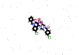 O=C(c1ccc(Cl)cc1)N1CCN(c2c([N+](=O)[O-])c(=O)n(Cc3ccccc3)c3ccc(Cl)cc23)CC1